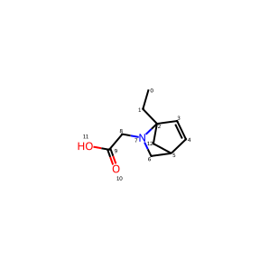 CCC12C=CC(CN1CC(=O)O)C2